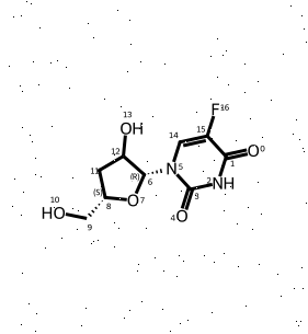 O=c1[nH]c(=O)n([C@@H]2O[C@H](CO)CC2O)cc1F